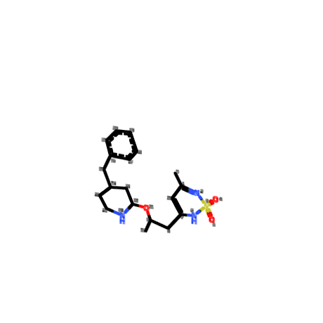 CC1=NS(=O)(=O)NC(CC(C)OC2CC(Cc3ccccc3)CCN2)=C1